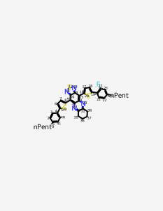 CCCCCc1ccc(-c2ccc(-c3c4nsnc4c(-c4ccc(-c5ccc(CCCCC)cc5F)s4)c4nc5c(nc34)CCCC5)s2)cc1